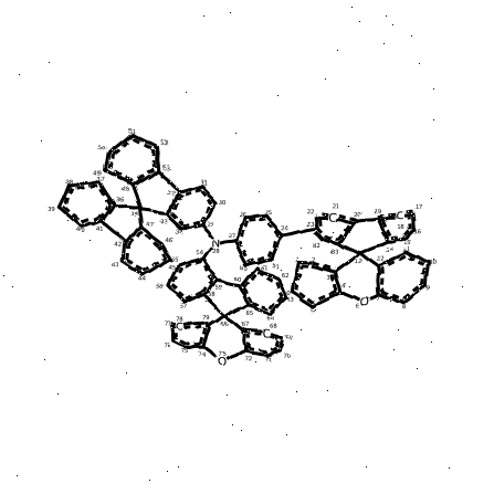 c1ccc2c(c1)Oc1ccccc1C21c2ccccc2-c2ccc(-c3ccc(N(c4ccc5c(c4)C4(c6ccccc6-c6ccccc64)c4ccccc4-5)c4cccc5c4-c4ccccc4C54c5ccccc5Oc5ccccc54)cc3)cc21